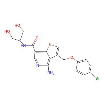 Nc1ncc(C(=O)NC(CO)CO)c2scc(COc3ccc(Br)cc3)c12